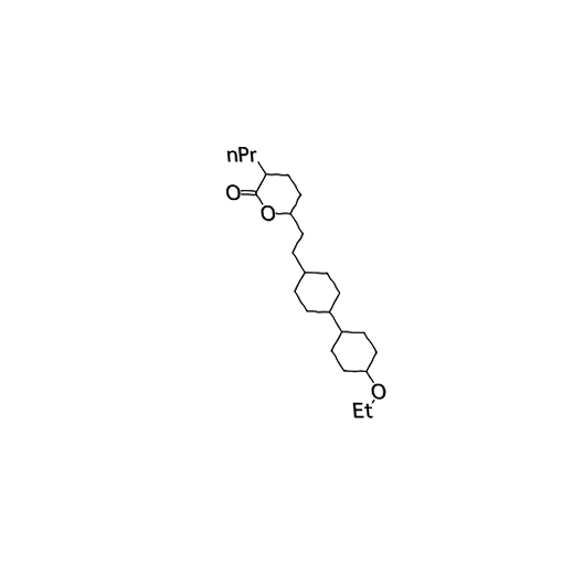 CCCC1CCC(CCC2CCC(C3CCC(OCC)CC3)CC2)OC1=O